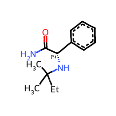 CCC(C)(C)N[C@H](C(N)=O)c1ccccc1